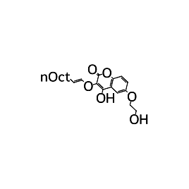 CCCCCCCCC=COc1c(O)c2cc(OCCO)ccc2oc1=O